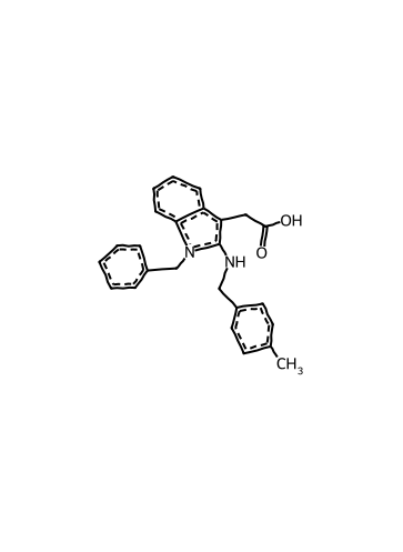 Cc1ccc(CNc2c(CC(=O)O)c3ccccc3n2Cc2ccccc2)cc1